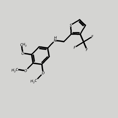 COc1cc(NCc2sccc2C(F)(F)F)cc(OC)c1OC